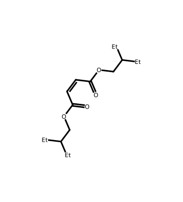 CCC(CC)COC(=O)/C=C\C(=O)OCC(CC)CC